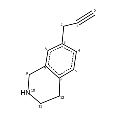 C#CCc1ccc2c(c1)CNCC2